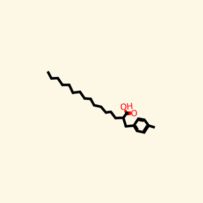 CCCCCCCCCCCCCCC(Cc1ccc(C)cc1)C(=O)O